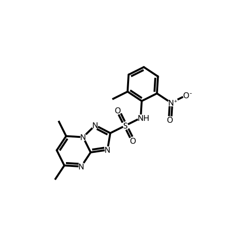 Cc1cc(C)n2nc(S(=O)(=O)Nc3c(C)cccc3[N+](=O)[O-])nc2n1